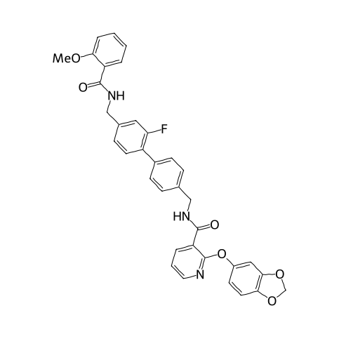 COc1ccccc1C(=O)NCc1ccc(-c2ccc(CNC(=O)c3cccnc3Oc3ccc4c(c3)OCO4)cc2)c(F)c1